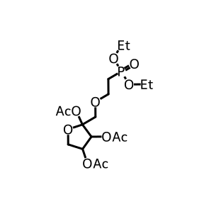 CCOP(=O)(CCOCC1(OC(C)=O)OCC(OC(C)=O)C1OC(C)=O)OCC